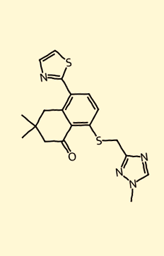 Cn1cnc(CSc2ccc(-c3nccs3)c3c2C(=O)CC(C)(C)C3)n1